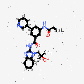 C=CC(=O)Nc1cc(C(=O)Nc2nc3ccccc3n2CC(C)(C)O)cc(-c2cccnc2)c1